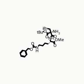 COC(=O)[C@H](CCCCNC(=O)OCc1ccccc1)NC(=O)[C@](N)(CC(C)C)C(=O)OC(C)(C)C